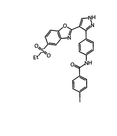 CCS(=O)(=O)c1ccc2oc(-c3c[nH]nc3-c3ccc(NC(=O)c4ccc(I)cc4)cc3)nc2c1